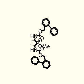 COP(=O)([C@H](C)NC(=O)OCc1ccccc1-c1ccccc1)[C@@H](C)NC(=O)OCc1ccccc1-c1ccccc1